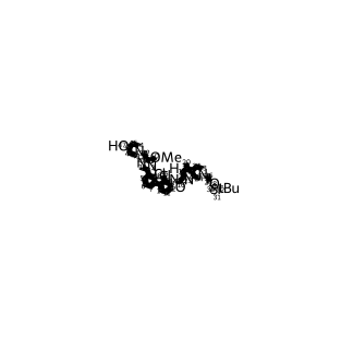 COc1nc(-c2cccc(-c3cccc(NC(=O)c4cc(C)c5c(n4)CN(CCO[Si](C)(C)C(C)(C)C)CC5)c3Cl)c2Cl)cnc1CN1CCC(O)CC1